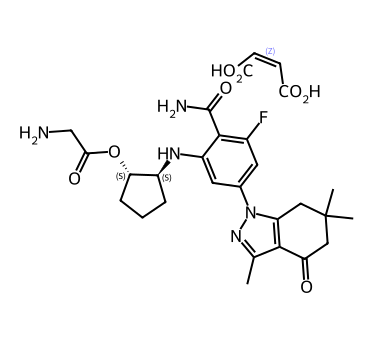 Cc1nn(-c2cc(F)c(C(N)=O)c(N[C@H]3CCC[C@@H]3OC(=O)CN)c2)c2c1C(=O)CC(C)(C)C2.O=C(O)/C=C\C(=O)O